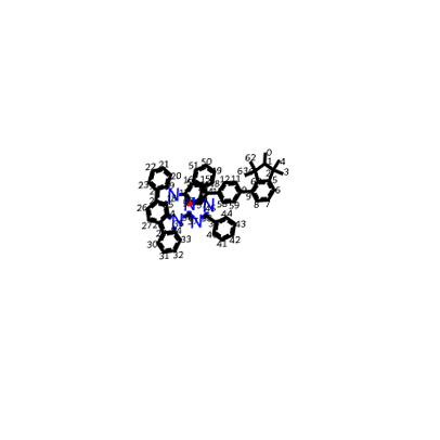 CC1C(C)(C)c2cccc(-c3ccc(-c4ccc(-n5c6ccccc6c6ccc7c8ccccc8n(-c8nc(-c9ccccc9)nc(-c9ccccc9)n8)c7c65)cc4)cc3)c2C1(C)C